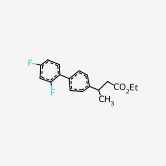 CCOC(=O)CC(C)c1ccc(-c2ccc(F)cc2F)cc1